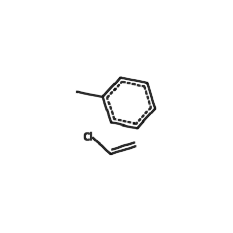 C=CCl.Cc1ccccc1